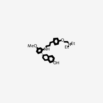 CCN(CC)CCOc1ccc(CCCNc2cc(OC)ccc2[C@H]2CCc3cc(O)ccc3C2)cc1